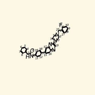 O=C(Cc1ccccc1)Nc1ccc(-c2ccc3ncc(N4CCN(Cc5ccccc5F)CC4)nc3c2)cc1